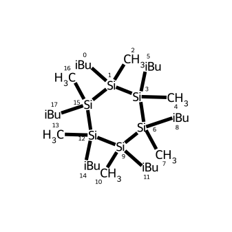 CCC(C)[Si]1(C)[Si](C)(C(C)CC)[Si](C)(C(C)CC)[Si](C)(C(C)CC)[Si](C)(C(C)CC)[Si]1(C)C(C)CC